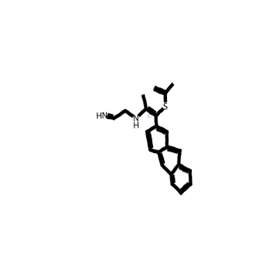 C=C(C)S/C(=C(\C)NCC=N)c1ccc2cc3ccccc3cc2c1